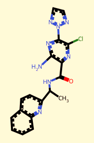 CC(NC(=O)c1nc(Cl)c(-n2nccn2)nc1N)c1ccc2ccccc2n1